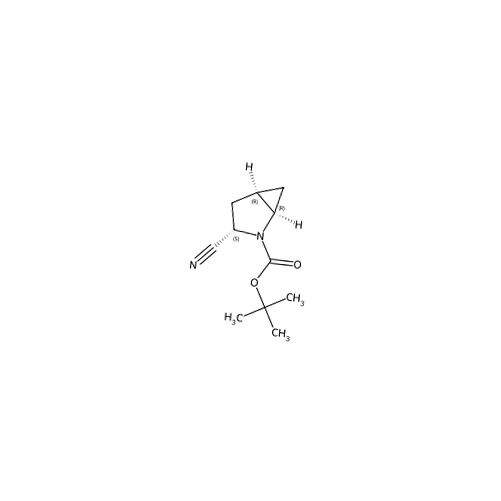 CC(C)(C)OC(=O)N1[C@H](C#N)C[C@H]2C[C@H]21